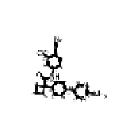 N#Cc1ccc(NC(=O)C2(c3ccc(-c4cnc(N)nc4)cc3)CCC2)cc1Cl